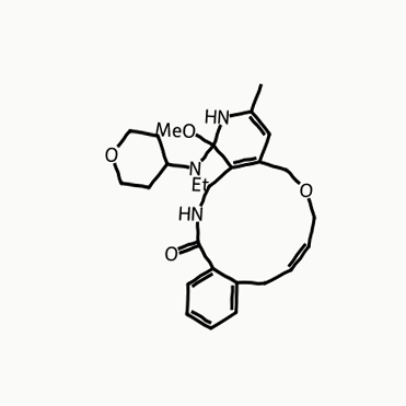 CCN(C1CCOCC1)C1(OC)NC(C)=CC2=C1CNC(=O)c1ccccc1CC=CCOC2